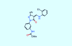 CCCC1=NN(c2cccc(NC(=O)OC)c2)C(=O)C1=CNc1ccccc1CC